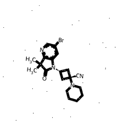 CC1(C)C(=O)N([C@H]2C[C@@](C#N)(N3CCCCC3)C2)c2cc(Br)cnc21